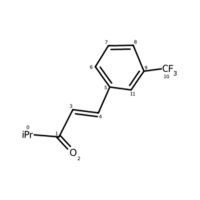 CC(C)C(=O)C=Cc1cccc(C(F)(F)F)c1